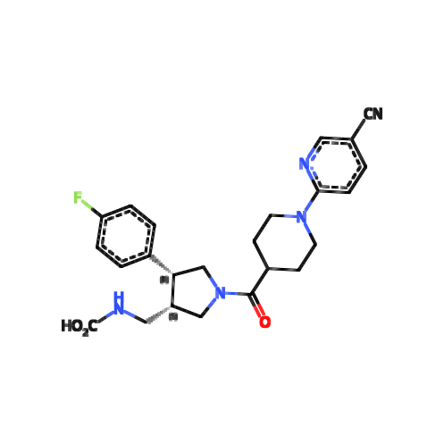 N#Cc1ccc(N2CCC(C(=O)N3C[C@H](CNC(=O)O)[C@H](c4ccc(F)cc4)C3)CC2)nc1